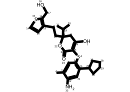 Cc1cc(SC2=C(O)CC(CCc3ccsc3CO)(C(C)C)OC2=O)c(C2CCCC2)cc1N